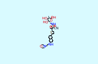 C/C(=C(/C#N)S(=O)(=O)NC[C@H]1OC(O)[C@H](C)[C@@H](O)[C@@H]1O)c1ccc(-c2ccc3cc(NCCN4CCOCC4)ccc3c2)s1